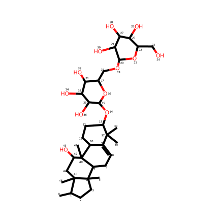 CC1CCC2(C)C3CC=C4C(CCC(OC5OC(COC6OC(CO)C(O)C(O)C6O)C(O)C(O)C5O)C4(C)C)C3(C)C(O)CC12C